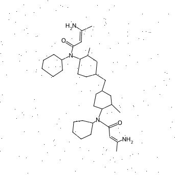 C/C(N)=C/C(=O)N(C1CCCCC1)C1CCC(CC2CCC(N(C(=O)/C=C(/C)N)C3CCCCC3)C(C)C2)CC1C